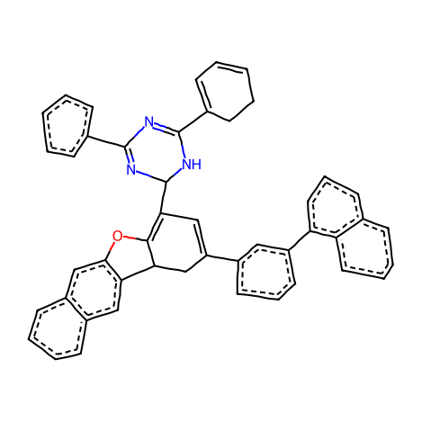 C1=CCCC(C2=NC(c3ccccc3)=NC(C3=C4Oc5cc6ccccc6cc5C4CC(c4cccc(-c5cccc6ccccc56)c4)=C3)N2)=C1